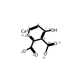 O=C([O-])c1nccc(O)c1C(=O)[O-].[Ca+2]